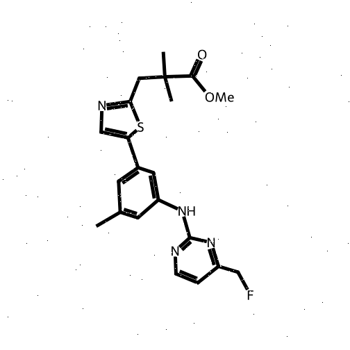 COC(=O)C(C)(C)Cc1ncc(-c2cc(C)cc(Nc3nccc(CF)n3)c2)s1